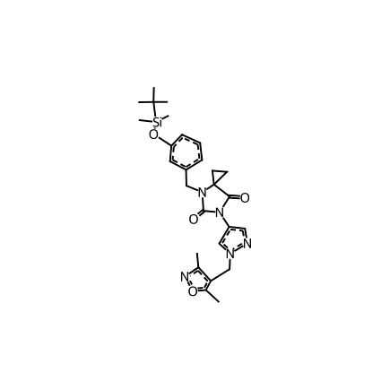 Cc1noc(C)c1Cn1cc(N2C(=O)N(Cc3cccc(O[Si](C)(C)C(C)(C)C)c3)C3(CC3)C2=O)cn1